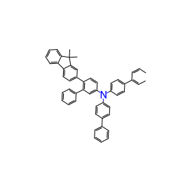 C/C=C\C(=C/C)c1ccc(N(c2ccc(-c3ccccc3)cc2)c2ccc(-c3ccc4c(c3)C(C)(C)c3ccccc3-4)c(-c3ccccc3)c2)cc1